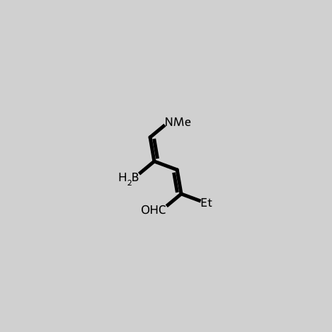 BC(=C/NC)/C=C(\C=O)CC